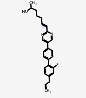 C=CCc1ccc(-c2ccc(-c3cnc(/C=C/CCCC(C)O)nc3)cc2)c(F)c1